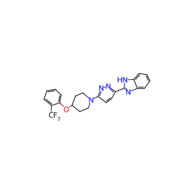 FC(F)(F)c1ccccc1OC1CCN(c2ccc(-c3nc4ccccc4[nH]3)nn2)CC1